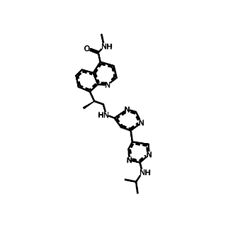 CNC(=O)c1ccnc2c([C@H](C)CNc3cc(-c4cnc(NC(C)C)nc4)ncn3)cccc12